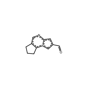 O=Cc1cc2ncc3c(n2c1)CCC3